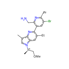 CCc1cc2c(nc1-c1cc(Br)c(C(C)C)nc1CN)c(C)cn2[C@H](C)COC